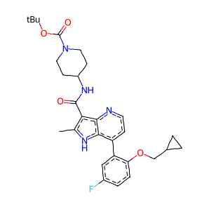 Cc1[nH]c2c(-c3cc(F)ccc3OCC3CC3)ccnc2c1C(=O)NC1CCN(C(=O)OC(C)(C)C)CC1